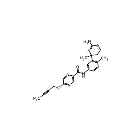 CC#CCOc1cnc(C(=O)Nc2ccc(C)c(C3(C)CCSC(N)=N3)c2)cn1